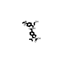 CCS(=O)(=O)c1ccc([C@H](CCO)NC(=O)c2ccc3c(c2)CN(C(=O)O)[C@@H]3C(C)C)cc1